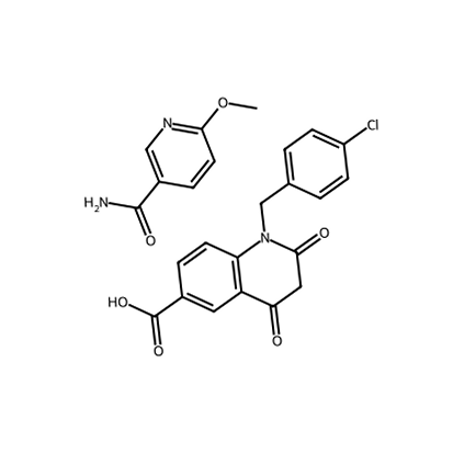 COc1ccc(C(N)=O)cn1.O=C(O)c1ccc2c(c1)C(=O)CC(=O)N2Cc1ccc(Cl)cc1